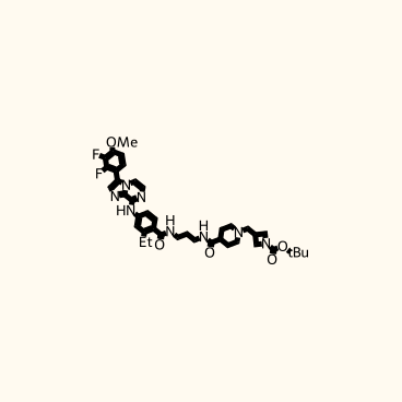 CCc1cc(Nc2nccn3c(-c4ccc(OC)c(F)c4F)cnc23)ccc1C(=O)NCCCNC(=O)C1CCN(CC2CN(C(=O)OC(C)(C)C)C2)CC1